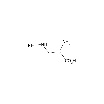 CCNCC(N)C(=O)O